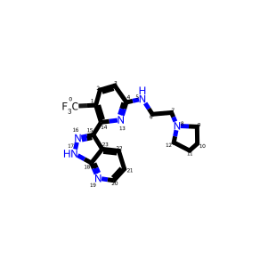 FC(F)(F)c1ccc(NCCN2CCCC2)nc1-c1n[nH]c2ncccc12